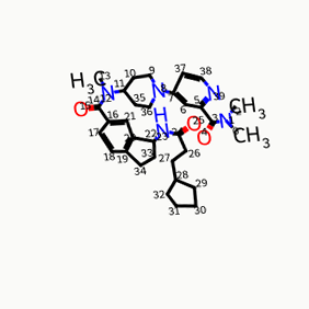 CN(C)C(=O)c1cc(N2CCC(N(C)C(=O)c3ccc4c(c3)C(NC(=O)CCC3CCCC3)CC4)CC2)ccn1